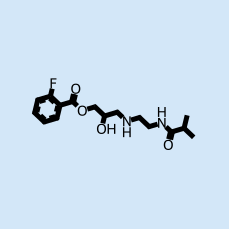 CC(C)C(=O)NCCNCC(O)COC(=O)c1ccccc1F